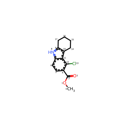 COC(=O)c1ccc2[nH]c3c(c2c1Cl)CCCC3